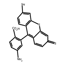 Nc1ccc(C(=O)O)c(-c2c3ccc(=S)cc-3sc3cc(S)ccc23)c1